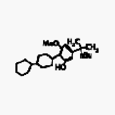 CCCCC(C)(C)c1cc(O)c(C2CCC(C3CCCCC3)CC2)c(OC)c1